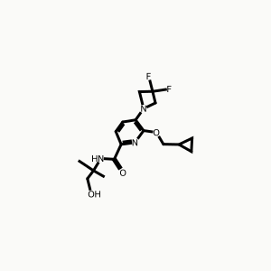 CC(C)(CO)NC(=O)c1ccc(N2CC(F)(F)C2)c(OCC2CC2)n1